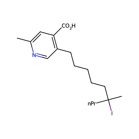 CCCC(C)(I)CCCCCc1cnc(C)cc1C(=O)O